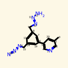 Cc1cncc(-c2cc(CN=NN)cc(CN=[N+]=[N-])c2)c1